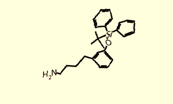 CC(C)(C)[Si](Oc1cccc(CCCCN)c1)(c1ccccc1)c1ccccc1